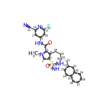 Cn1cc2c(c1C(=O)Nc1cc(F)nc(C#N)c1)CC[C@H](Cc1ccc3ccccc3c1)NS2(=N)=O